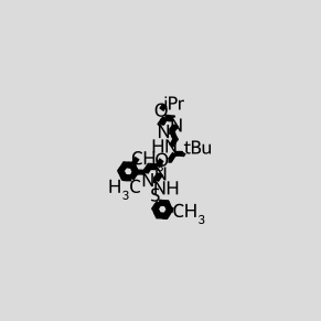 Cc1cccc(SNc2nc(OCC(CC(C)(C)C)NCc3ncc(OC(C)C)cn3)cc(-c3c(C)cccc3C)n2)c1